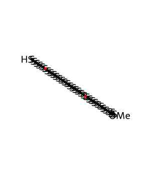 COS(=S)(=S)SSSSSSSSSSSSSSSSSSSSSSSSSSSSSSSSSSSSSSSSSSSSSSSSSSSSSSSSSSS